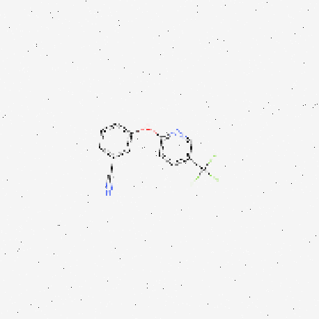 N#Cc1cccc(Oc2ccc(C(F)(F)F)cn2)c1